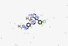 C[C@@H]1NCCn2nc(-c3ccc(F)c(Cl)c3)c(-n3ccn(-c4ccc5c(cnn5C)c4F)c3=O)c21